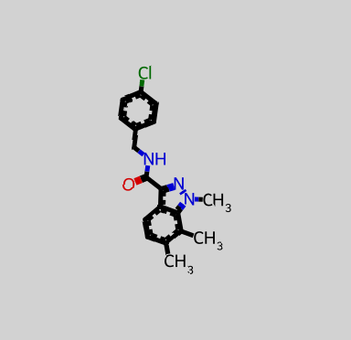 Cc1ccc2c(C(=O)NCc3ccc(Cl)cc3)nn(C)c2c1C